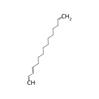 [CH]=CC=CCCCCCCCCCC=C